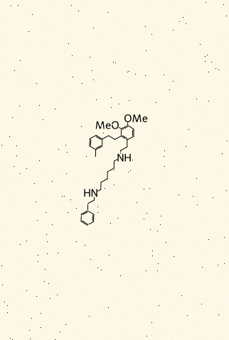 COc1ccc(CCNCCCCCCNCCc2ccccc2)c(CCc2cccc(C)c2)c1OC